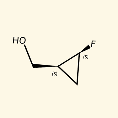 OC[C@@H]1C[C@@H]1F